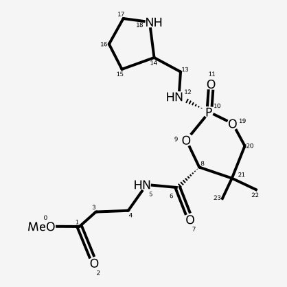 COC(=O)CCNC(=O)[C@@H]1O[P@](=O)(NCC2CCCN2)OCC1(C)C